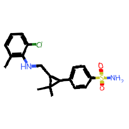 Cc1cccc(Cl)c1NCC1C(c2ccc(S(N)(=O)=O)cc2)C1(C)C